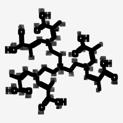 CC(=CN(C=C(C)C(=O)O)CCN(CCN(C=C(C)C(=O)O)C=C(C)C(=O)O)CCN(C=C(C)C(=O)O)C=C(C)C(=O)O)C(=O)O